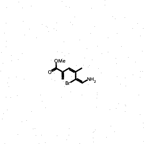 C=C(/C=C(C)\C(Br)=C/N)C(=O)OC